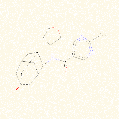 CNc1ncc(C(=O)N[C@H]2C3CC4CC2C[C@@](O)(C4)C3)c([C@@H]2CCCO2)n1